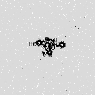 CN(C)c1cccc(F)c1CN1C[C@H]2N(C(=O)CN(C)N2C(=O)NCc2ccccc2)[C@@H](Cc2ccc(O)cc2)C1=O